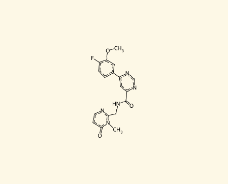 COc1cc(-c2cc(C(=O)NCc3nccc(=O)n3C)ncn2)ccc1F